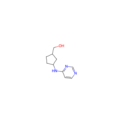 OCC1CCC(Nc2ccncn2)C1